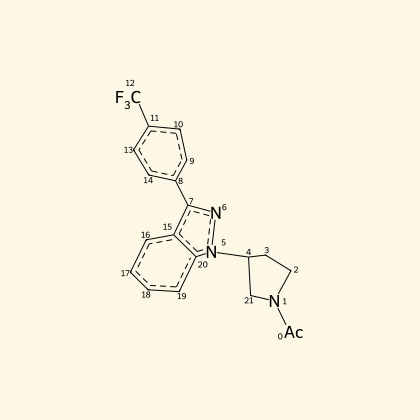 CC(=O)N1CCC(n2nc(-c3ccc(C(F)(F)F)cc3)c3ccccc32)C1